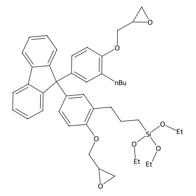 CCCCc1cc(C2(c3ccc(OCC4CO4)c(CCC[Si](OCC)(OCC)OCC)c3)c3ccccc3-c3ccccc32)ccc1OCC1CO1